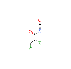 O=C=NC(=O)C(Cl)CCl